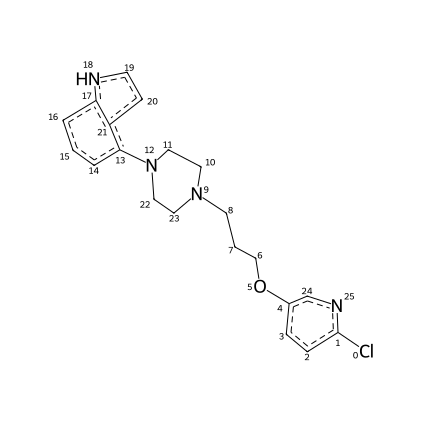 Clc1ccc(OCCCN2CCN(c3cccc4[nH]ccc34)CC2)cn1